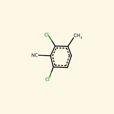 Cc1ccc(Cl)c(C#N)c1Cl